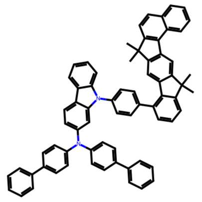 CC1(C)c2cc3c(cc2-c2c(-c4ccc(-n5c6ccccc6c6ccc(N(c7ccc(-c8ccccc8)cc7)c7ccc(-c8ccccc8)cc7)cc65)cc4)cccc21)C(C)(C)c1ccc2ccccc2c1-3